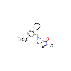 CCOC(=O)c1ccc(-c2ccccc2)c(CN2CCCC(C(=O)N(CC)CC)C2)c1